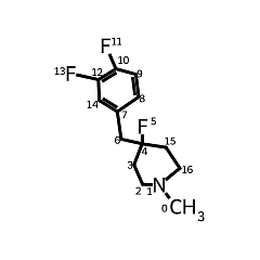 CN1CCC(F)(Cc2ccc(F)c(F)c2)CC1